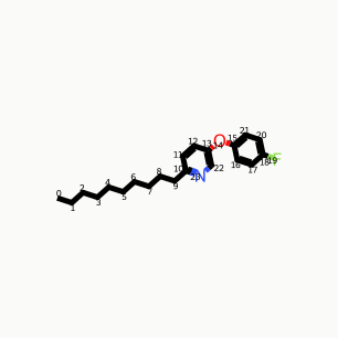 CCCCCCCCCCc1ccc(Oc2ccc(F)cc2)cn1